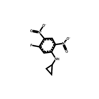 O=[N+]([O-])c1cc([N+](=O)[O-])c(NC2CC2)cc1F